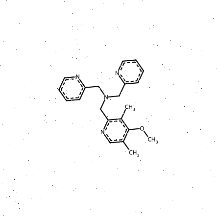 COc1c(C)cnc(CN(Cc2ccccn2)Cc2ccccn2)c1C